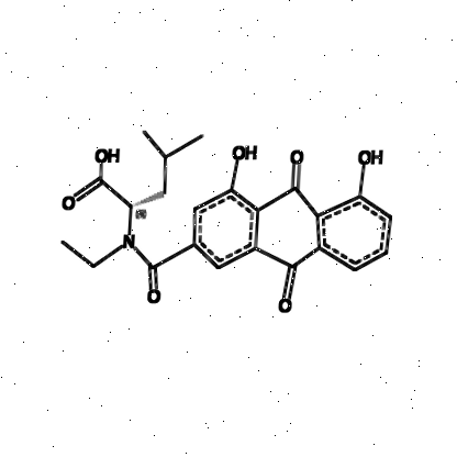 CCN(C(=O)c1cc(O)c2c(c1)C(=O)c1cccc(O)c1C2=O)[C@@H](CC(C)C)C(=O)O